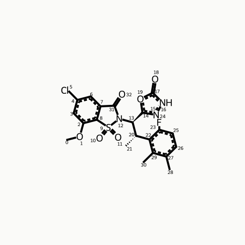 COc1cc(Cl)cc2c1S(=O)(=O)N([C@@H](c1n[nH]c(=O)o1)[C@@H](C)c1c(F)ccc(C)c1C)C2=O